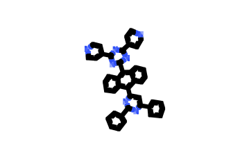 c1ccc(-c2cc(-c3c4ccccc4c(-c4nc(-c5ccncc5)nc(-c5ccncc5)n4)c4ccccc34)nc(-c3ccccc3)n2)cc1